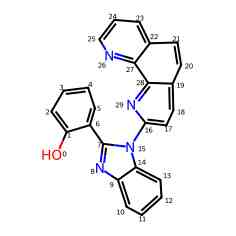 Oc1ccccc1-c1nc2ccccc2n1-c1ccc2ccc3cccnc3c2n1